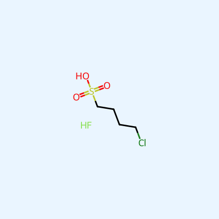 F.O=S(=O)(O)CCCCCl